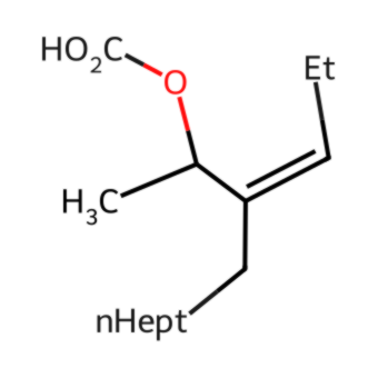 CCC=C(CCCCCCCC)C(C)OC(=O)O